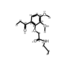 CCCNC(=O)COc1c(C(=O)CC)ccc(OC)c1OC